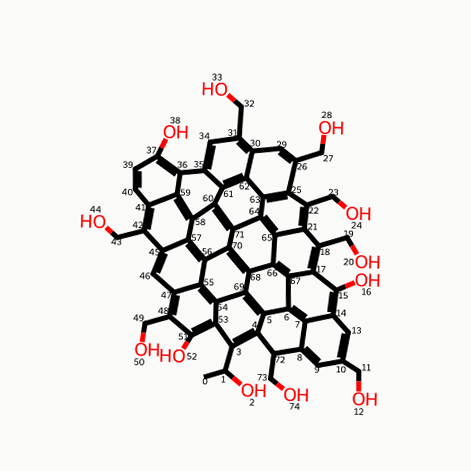 CC(O)c1c2c3c4c5c(cc(CO)cc5c(O)c5c(CO)c6c(CO)c7c(CO)cc8c(CO)cc9c%10c(O)ccc%11c(CO)c%12cc%13c(CO)c(O)c1c1c%13c%13c%12c(c%11%10)c%10c9c8c7c7c6c(c54)c(c31)c%13c7%10)C2CO